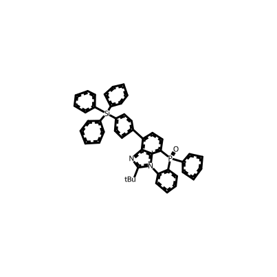 CC(C)(C)c1nc2c(-c3ccc([Si](c4ccccc4)(c4ccccc4)c4ccccc4)cc3)ccc3c2n1-c1ccccc1P3(=O)c1ccccc1